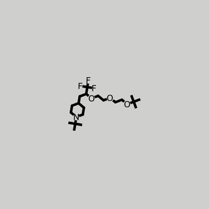 CC(C)(C)OCCOCCOC(CC1CCN(C(C)(C)C)CC1)C(F)(F)F